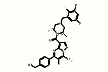 Cc1c(-c2ccc(CO)cc2)nc2c(C(=O)N3[C@H](C)CN(Cc4cc(F)cc(F)c4F)C[C@H]3C)cnn2c1C(F)(F)F